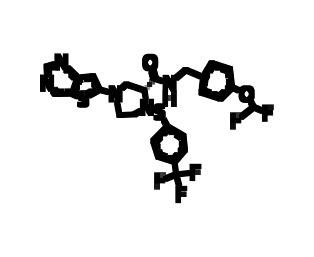 O=C(NCc1ccc(OC(F)F)cc1)[C@H]1CN(c2cc3ncncc3s2)CCN1Sc1ccc(C(F)(F)F)cc1